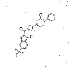 O=C(c1sc2cc(C(F)(F)F)ccc2c1Cl)N1CC(N2CCN(c3ccccc3)C(=O)C2)C1